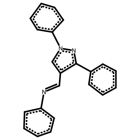 C(=N\c1ccccc1)/c1cn(-c2ccccc2)nc1-c1ccccc1